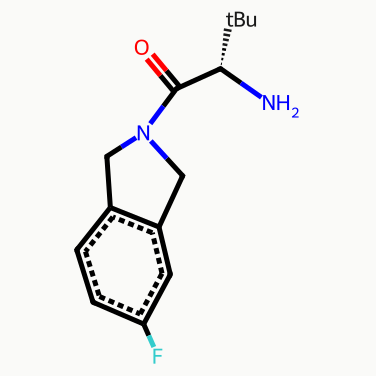 CC(C)(C)[C@H](N)C(=O)N1Cc2ccc(F)cc2C1